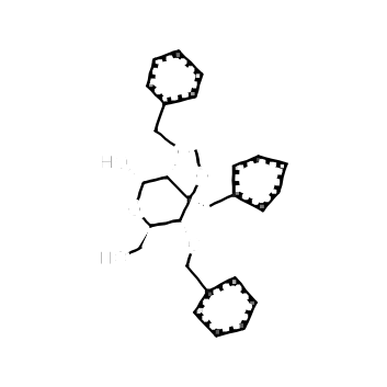 CO[C@@]1(Cc2ccccc2)[C@H](OCc2ccccc2)[C@@H](CO)O[C@H](O)[C@@H]1OCc1ccccc1